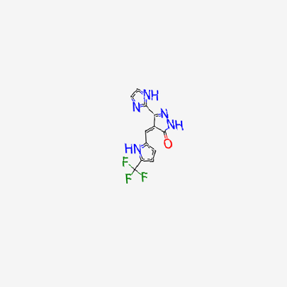 O=C1NN=C(c2ncc[nH]2)C1=Cc1ccc(C(F)(F)F)[nH]1